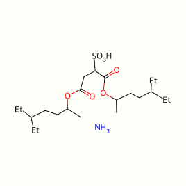 CCC(CC)CCC(C)OC(=O)CC(C(=O)OC(C)CCC(CC)CC)S(=O)(=O)O.N